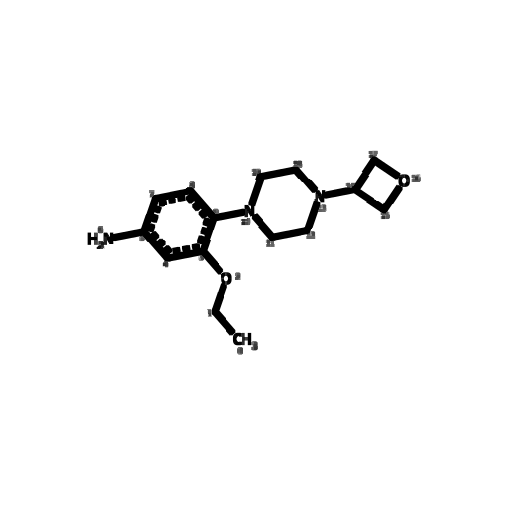 CCOc1cc(N)ccc1N1CCN(C2COC2)CC1